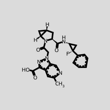 Cc1cc2c(C(=O)O)nn(CC(=O)N3[C@@H]4C[C@@H]4C[C@H]3C(=O)N[C@@H]3C[C@@]3(F)c3ccccc3)c2cn1